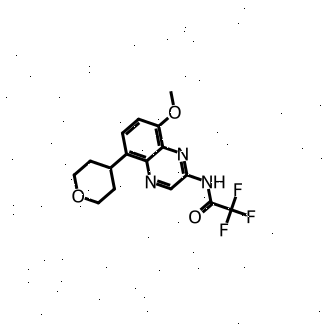 COc1ccc(C2CCOCC2)c2ncc(NC(=O)C(F)(F)F)nc12